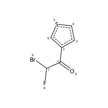 O=C(c1ccsc1)C(F)Br